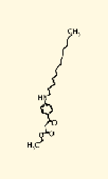 CCCCCCCCCCCCCCNc1ccc(C(=O)CC(=O)OCC)cc1